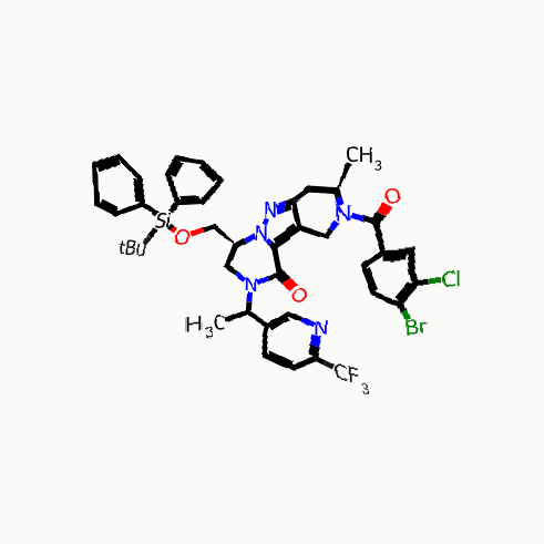 CC(c1ccc(C(F)(F)F)nc1)N1C[C@@H](CO[Si](c2ccccc2)(c2ccccc2)C(C)(C)C)n2nc3c(c2C1=O)CN(C(=O)c1ccc(Br)c(Cl)c1)[C@H](C)C3